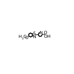 COc1ccc2sc(-c3ccc(C(=O)O)nc3)nc2c1